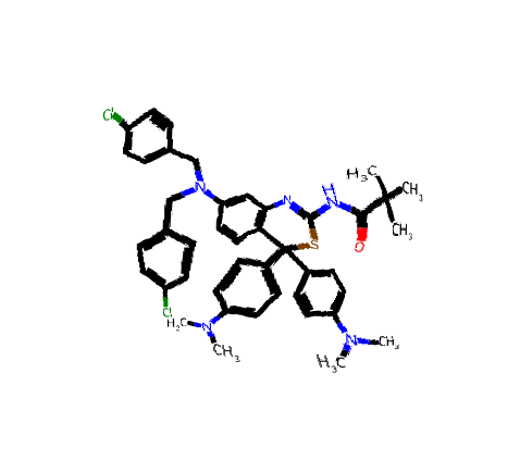 CN(C)c1ccc(C2(c3ccc(N(C)C)cc3)SC(NC(=O)C(C)(C)C)=Nc3cc(N(Cc4ccc(Cl)cc4)Cc4ccc(Cl)cc4)ccc32)cc1